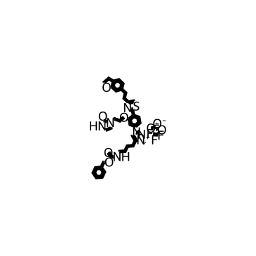 C[n+]1nn(-c2ccc(-c3nc(CCc4ccc5c(c4)OCC5)cs3)c(OCCN3CCNC3=O)c2)cc1CCCCNC(=O)OCc1ccccc1.O=S(=O)([O-])C(F)(F)F